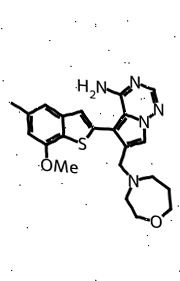 COc1cc(C)cc2cc(-c3c(CN4CCCOCC4)cn4ncnc(N)c34)sc12